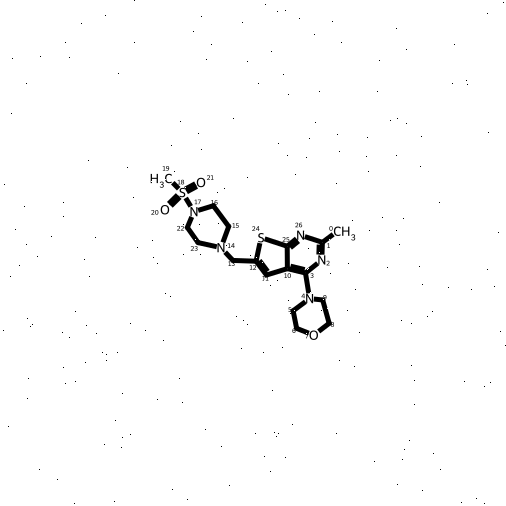 Cc1nc(N2CCOCC2)c2cc(CN3CCN(S(C)(=O)=O)CC3)sc2n1